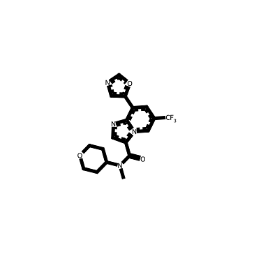 CN(C(=O)c1cnc2c(-c3cnco3)cc(C(F)(F)F)cn12)C1CCOCC1